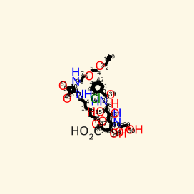 C#CCOCCOCCNc1c(NCCCCCCO[C@]2(C(=O)O)C[C@H](O)[C@@H](NC(=O)CO)[C@H]([C@H](O)[C@H](O)CNC(=O)c3ccccc3Cl)O2)c(=O)c1=O